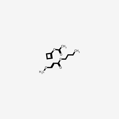 CC(=O)OC1=CCC1.CCCCOC(=O)C=COC